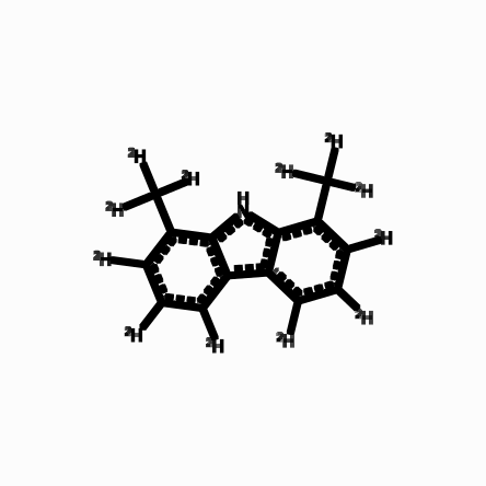 [2H]c1c([2H])c([2H])c2c([nH]c3c(C([2H])([2H])[2H])c([2H])c([2H])c([2H])c32)c1C([2H])([2H])[2H]